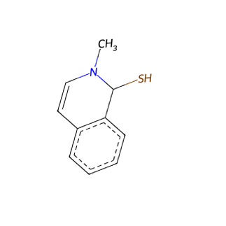 CN1C=Cc2ccccc2C1S